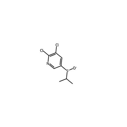 CC(C)[S+]([O-])c1cnc(Cl)c(Cl)c1